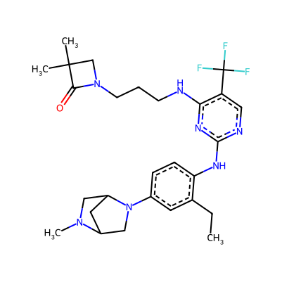 CCc1cc(N2CC3CC2CN3C)ccc1Nc1ncc(C(F)(F)F)c(NCCCN2CC(C)(C)C2=O)n1